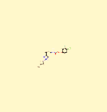 C=C(CCNC(=O)COc1ccc(Cl)c(F)c1)c1cnn(C2CC(C#N)C2)n1